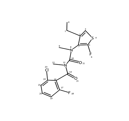 CCc1csc(F)c1N(C)C(=O)N(C)C(=O)c1c(F)cccc1Cl